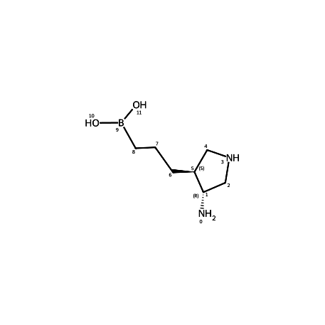 N[C@H]1CNC[C@@H]1CCCB(O)O